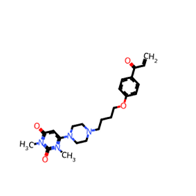 C=CC(=O)c1ccc(OCCCCN2CCN(c3cc(=O)n(C)c(=O)n3C)CC2)cc1